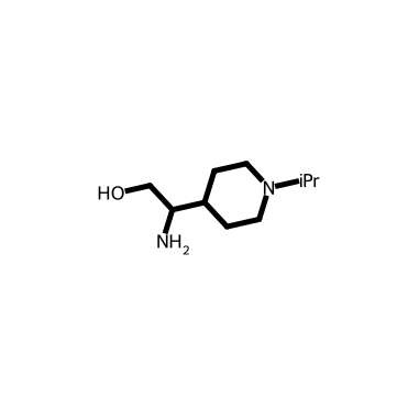 CC(C)N1CCC(C(N)CO)CC1